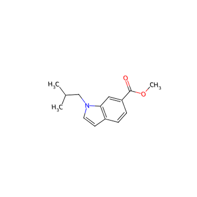 COC(=O)c1ccc2ccn(CC(C)C)c2c1